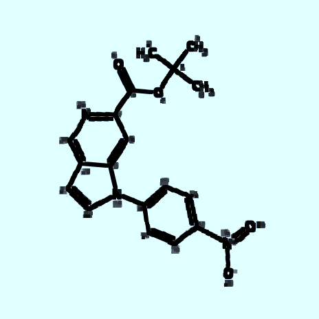 CC(C)(C)OC(=O)c1cc2c(ccn2-c2ccc([N+](=O)[O-])cc2)cn1